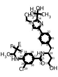 CCn1cc(-c2ccc(C[C@@H](CCO)NC(=O)c3ccc(NC(C)C(F)(F)F)c(Cl)c3)cc2)nc1C(C)(C)O